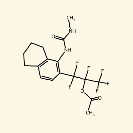 CNC(=O)Nc1c(C(F)(F)C(F)(OC(C)=O)C(F)(F)F)ccc2c1CCCC2